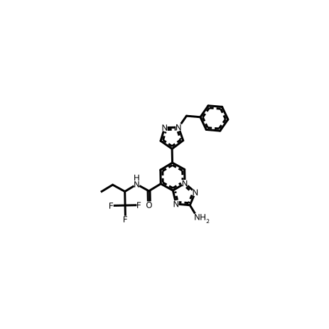 CCC(NC(=O)c1cc(-c2cnn(Cc3ccccc3)c2)cn2nc(N)nc12)C(F)(F)F